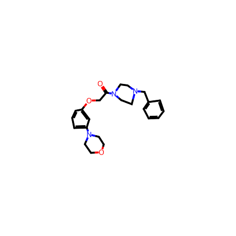 O=C(COc1cccc(N2CCOCC2)c1)N1CCN(Cc2ccccc2)CC1